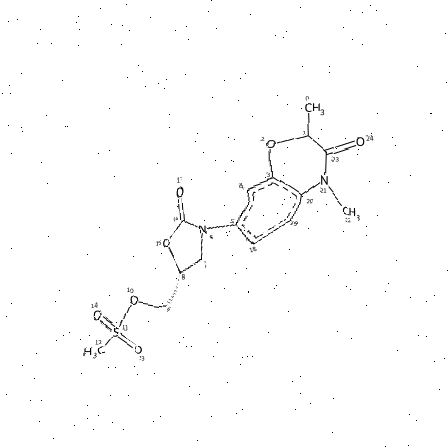 CC1Oc2cc(N3C[C@H](COS(C)(=O)=O)OC3=O)ccc2N(C)C1=O